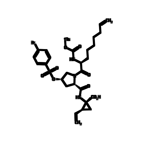 C=CCCCCC[C@H](NC(=O)OC(C)(C)C)C(=O)N1C[C@@H](OS(=O)(=O)c2ccc(Br)cc2)C[C@H]1C(=O)N[C@]1(C(=O)O)C[C@H]1C=C